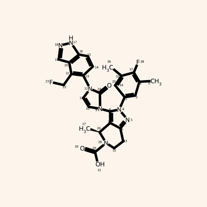 Cc1cc(-n2nc3c(c2-n2ccn(-c4ccc5[nH]ncc5c4CF)c2=O)[C@H](C)N(C(=O)O)CC3)cc(C)c1F